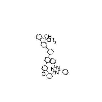 CC1(C)c2ccccc2-c2ccc(C3=CC(c4ccc(-c5ccc6c(c5)C5C(c7nc(-c8ccccc8)nc(-c8ccccc8)n7)=CC=CC5O6)cc4)CC=C3)cc21